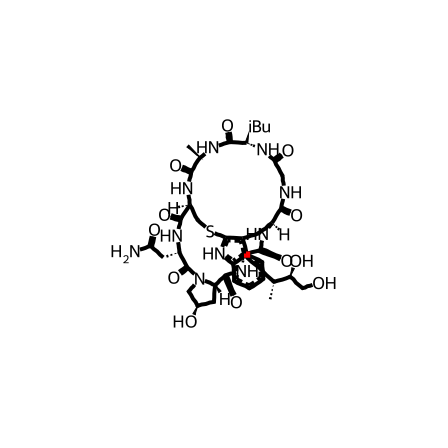 CC[C@H](C)[C@@H]1NC(=O)CNC(=O)[C@@H]2Cc3c([nH]c4ccccc34)SC[C@H](NC(=O)[C@@H](C)NC1=O)C(=O)N[C@@H](CC(N)=O)C(=O)N1C[C@H](O)C[C@H]1C(=O)N[C@@H]([C@@H](C)[C@@H](O)CO)C(=O)N2